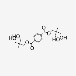 CC(CO)(CO)COC(=O)c1ccc(C(=O)OCC(C)(CO)CO)cc1